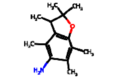 Cc1c(C)c2c(c(C)c1N)C(C)C(C)(C)O2